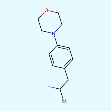 CCC(I)Cc1ccc(N2CCOCC2)cc1